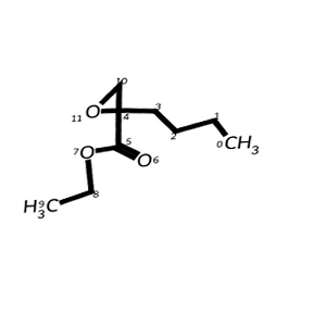 CCCCC1(C(=O)OCC)CO1